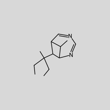 CCC(C)(CC)C1C2C=NC=NC1C2C